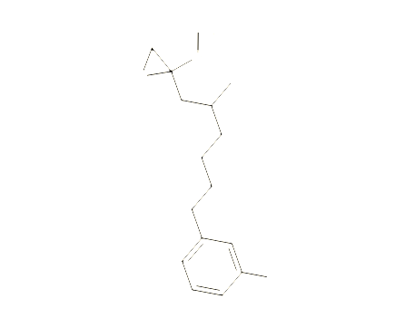 CCOC(=O)OC1(CC(C)CCCCc2cccc(Cl)c2)CO1